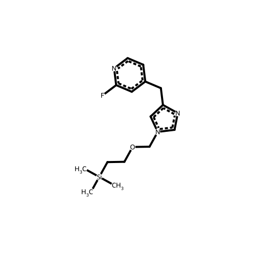 C[Si](C)(C)CCOCn1cnc(Cc2ccnc(F)c2)c1